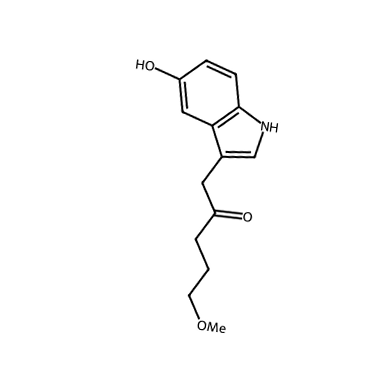 COCCCC(=O)Cc1c[nH]c2ccc(O)cc12